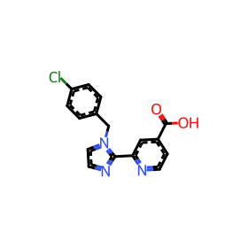 O=C(O)c1ccnc(-c2nccn2Cc2ccc(Cl)cc2)c1